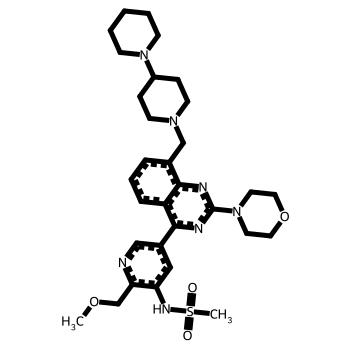 COCc1ncc(-c2nc(N3CCOCC3)nc3c(CN4CCC(N5CCCCC5)CC4)cccc23)cc1NS(C)(=O)=O